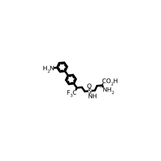 N=S(=O)(CCC(c1ccc(-c2cccc(N)c2)cc1)C(F)(F)F)CC[C@H](N)C(=O)O